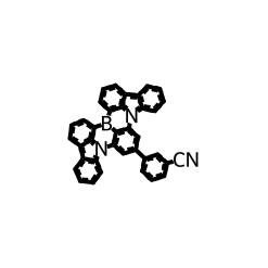 N#Cc1cccc(-c2cc3c4c(c2)-n2c5ccccc5c5cccc(c52)B4c2cccc4c5ccccc5n-3c24)c1